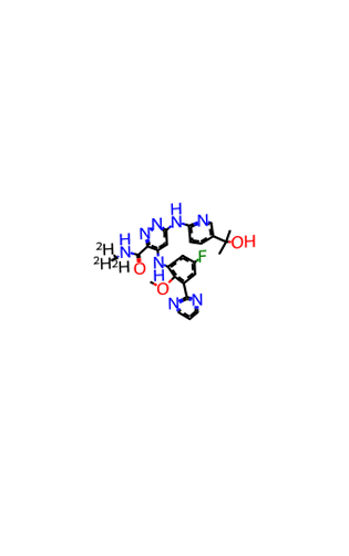 [2H]C([2H])([2H])NC(=O)c1nnc(Nc2ccc(C(C)(C)O)cn2)cc1Nc1cc(F)cc(-c2ncccn2)c1OC